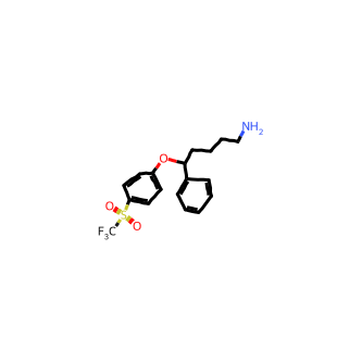 NCCCCC(Oc1ccc(S(=O)(=O)C(F)(F)F)cc1)c1ccccc1